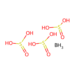 B.O=S(O)O.O=S(O)O.O=S(O)O